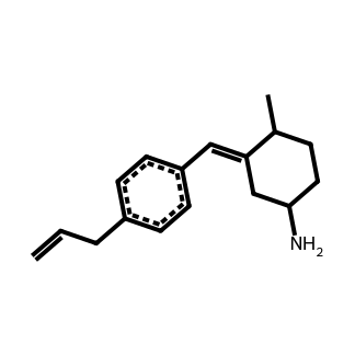 C=CCc1ccc(C=C2CC(N)CCC2C)cc1